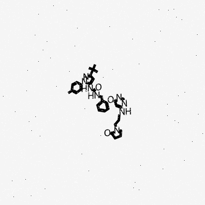 Cc1ccc(-n2nc(C(C)(C)C)cc2NC(=O)NCc2ccccc2Oc2cc(NCCCN3CCCC3=O)ncn2)cc1